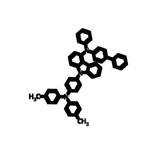 Cc1ccc(N(c2ccc(C)cc2)c2ccc(-n3c4ccccc4c4c(N(c5ccccc5)c5ccc(-c6ccccc6)cc5)cccc43)cc2)cc1